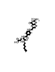 C#CCCCCNC(=O)[C@H](CCC(=O)O)NC(=O)c1ccc(NCc2cnc3nc(N)[nH]c(=O)c3n2)cc1